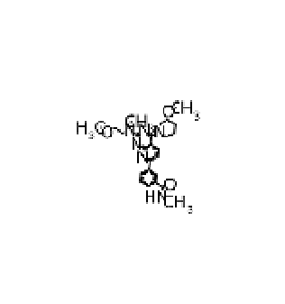 CNC(=O)c1cccc(-c2ccc3c(N4CCCC(OC)C4)nc(N(C)CCOC)nc3n2)c1